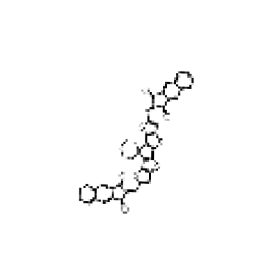 O=C1C(=Cc2cc3sc4c(c3s2)C2(CCCCC2)c2c-4sc3cc(C=C4C(=O)c5cc6ccccc6cc5C4=O)sc23)C(=O)c2cc3ccccc3cc21